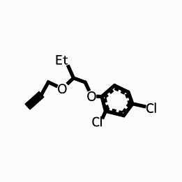 C#CCOC(CC)COc1ccc(Cl)cc1Cl